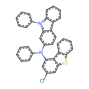 Clc1cc(N(c2ccccc2)c2ccc3c4ccccc4n(-c4ccccc4)c3c2)c2c(c1)sc1ccccc12